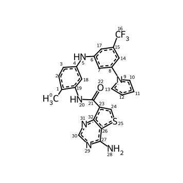 Cc1ccc(Nc2cc(-n3cccc3)cc(C(F)(F)F)c2)cc1NC(=O)c1csc2c(N)ncnc12